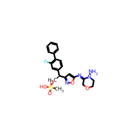 CS(=O)(=O)O.C[C@@H](c1ccc(-c2ccccc2)c(F)c1)c1cc(N=C2COCCN2N)on1